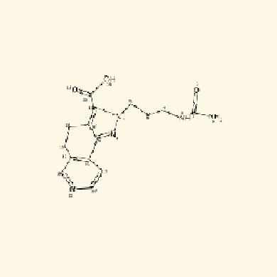 NC(=O)NCCCn1nc2c(c1C(=O)O)CCc1cnccc1-2